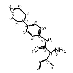 CC[C@H](C)[C@H](N)C(=O)Nc1ccc(N2CCOCC2)cc1